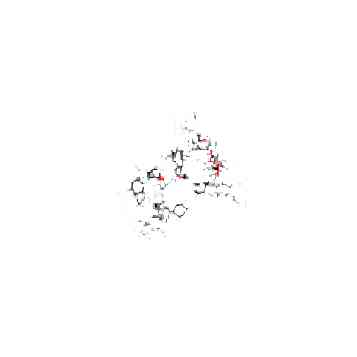 CN[C@H](CC(C)C)C(=O)N[C@H]1C(=O)N[C@@H](CC(N)=O)C(=O)N[C@H]2C(=O)N[C@H]3C(=O)N[C@H](C(=O)N[C@H](C(=O)O)c4cc(O)cc(O)c4-c4cc3ccc4O)[C@H](O[C@H]3C[C@](C)(N)[C@@H](O)[C@H](C)O3)c3ccc(cc3)Oc3cc2cc(c3O[C@@H]2O[C@H](CO)[C@@H](O)[C@H](O)[C@H]2O[C@H]2C[C@](C)(N)[C@@H](O)[C@H](C)O2)Oc2ccc(cc2)[C@H]1O